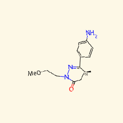 COCCN1N=C(c2ccc(N)cc2)[C@@H](C)CC1=O